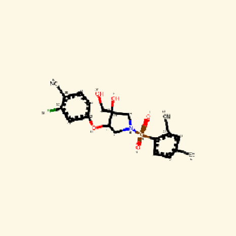 CCc1ccc(S(=O)(=O)N2CC(Oc3ccc(C#N)c(F)c3)[C@](O)(CO)C2)c(C#N)c1